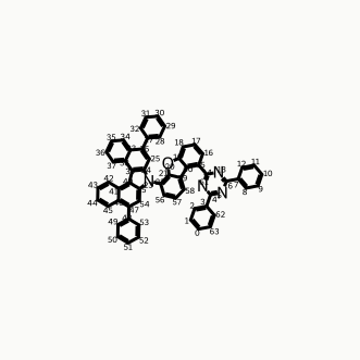 c1ccc(-c2nc(-c3ccccc3)nc(-c3cccc4oc5c(-n6c7cc(-c8ccccc8)c8ccccc8c7c7c8ccccc8c(-c8ccccc8)cc76)cccc5c34)n2)cc1